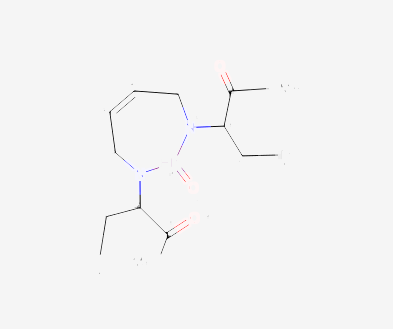 COC(=O)C(CC(C)C)N1CC=CCN(C(CC(C)C)C(=O)OC)[PH]1=O